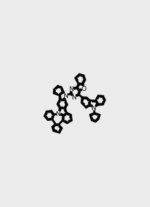 c1ccc(-n2c3ccccc3c3cc(-c4nc(-n5c6ccccc6c6cc7c(cc65)c5cccc6c5n7-c5ccccc5-c5ccccc5-6)nc5c4oc4ccccc45)ccc32)cc1